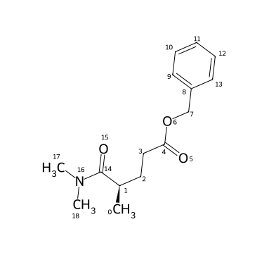 C[C@H](CCC(=O)OCc1ccccc1)C(=O)N(C)C